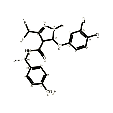 C[C@H](NC(=O)C1C(C(F)F)=NN(C)C1Oc1ccc(Cl)c(Cl)c1)c1ccc(C(=O)O)cc1